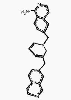 Nc1nccc2cc(CN3C=CC=C(Cc4ccc5ccncc5c4)C3)ccc12